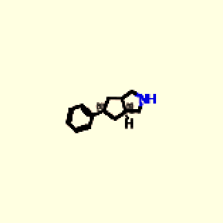 c1ccc([C@H]2CC3CNC[C@H]3C2)cc1